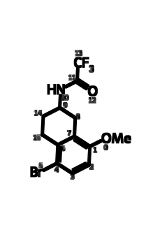 COc1ccc(Br)c2c1CC(NC(=O)C(F)(F)F)CC2